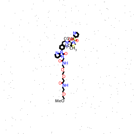 COCCOCCCNC(=O)CCOCCOCCNC(=O)Cn1c(=O)n(-c2ccc(C[C@H](NC(=O)[C@H]3N(S(=O)(=O)c4cccnc4)CSC3(C)C)C(=O)O)cc2)c2ncccc21